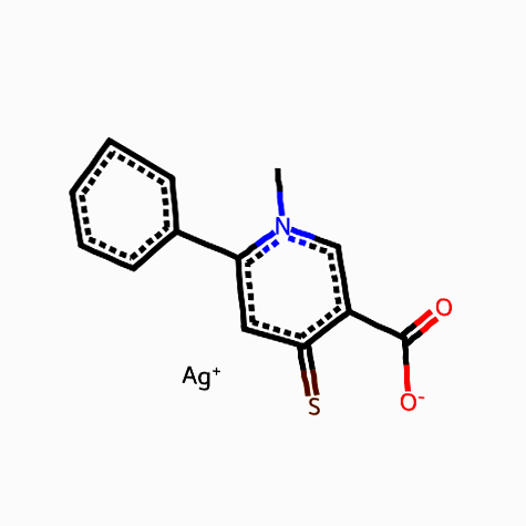 Cn1cc(C(=O)[O-])c(=S)cc1-c1ccccc1.[Ag+]